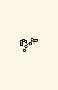 c1ccc(-c2ccc(N(c3cccc(-c4cccc5c4oc4ccccc45)c3)c3ccc4ccc5ccc6ccccc6c5c4c3)cc2)cc1